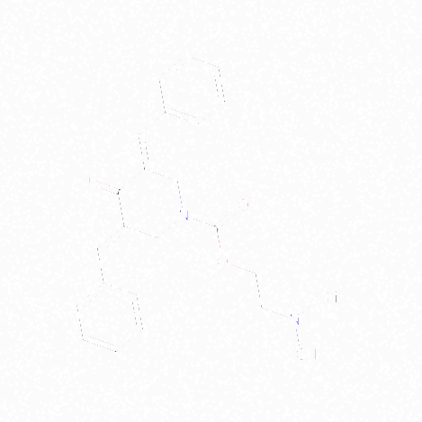 CN(C)CCOC(=O)N1C/C(=C\c2ccccc2)C(=O)/C(=C/c2ccccc2)C1